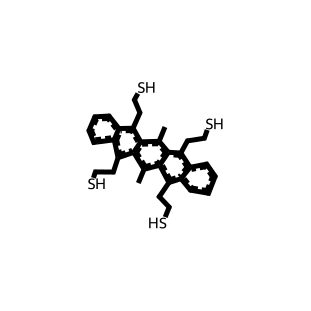 Cc1c2c(CCS)c3ccccc3c(CCS)c2c(C)c2c(CCS)c3ccccc3c(CCS)c12